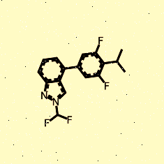 CC(C)c1c(F)cc(-c2cccc3nn(C(F)F)cc23)cc1F